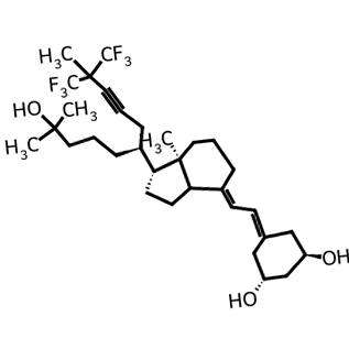 CC(C)(O)CCC[C@@H](CC#CC(C)(C(F)(F)F)C(F)(F)F)[C@H]1CCC2/C(=C/C=C3C[C@@H](O)C[C@H](O)C3)CCC[C@@]21C